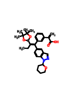 C=C(C(=O)O)c1cccc(/C(=C(/CC)B2OC(C)(C)C(C)(C)O2)c2ccc3c(cnn3C3CCCCO3)c2)c1